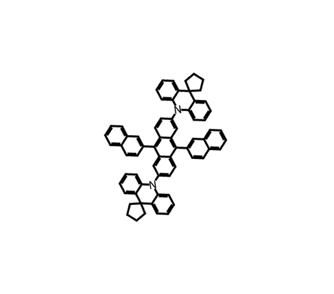 c1ccc2c(c1)N(c1ccc3c(-c4ccc5ccccc5c4)c4cc(N5c6ccccc6C6(CCCC6)c6ccccc65)ccc4c(-c4ccc5ccccc5c4)c3c1)c1ccccc1C21CCCC1